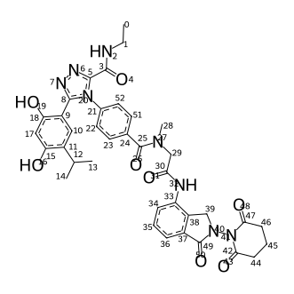 CCNC(=O)c1nnc(-c2cc(C(C)C)c(O)cc2O)n1-c1ccc(C(=O)N(C)CC(=O)Nc2cccc3c2CN(N2C(=O)CCCC2=O)C3=O)cc1